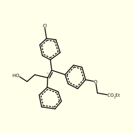 CCOC(=O)COc1ccc(/C(=C(/CCO)c2ccccc2)c2ccc(Cl)cc2)cc1